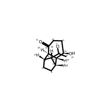 CC(Cl)[C@H]1[C@@H]2CC[C@H]1[C@@H]1[C@@H]2C(=O)CC[C@H]1O